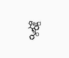 CC(c1cn(C(=O)c2ccccc2)c2ccc(Cl)cc12)C1CCCN1